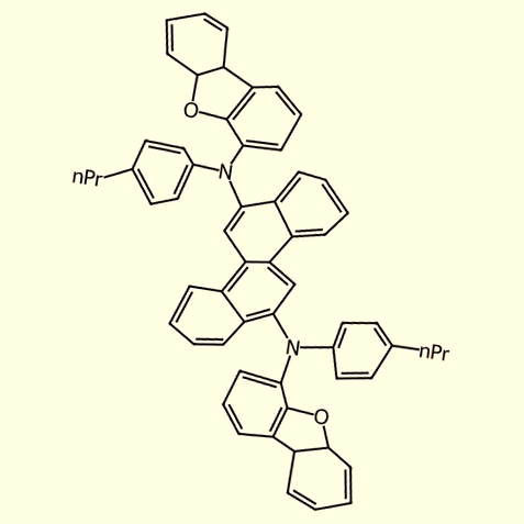 CCCc1ccc(N(c2cccc3c2OC2C=CC=CC32)c2cc3c4ccccc4c(N(c4ccc(CCC)cc4)c4cccc5c4OC4C=CC=CC54)cc3c3ccccc23)cc1